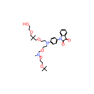 CN(COCCN(CCOCC(C)(C)COCCO)c1ccc(N2C(=O)C(=O)c3ccccc32)cc1)OCCOC(C)(C)C